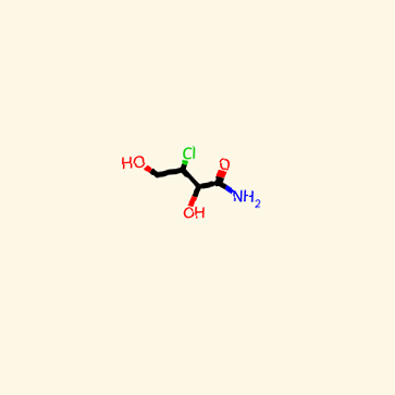 NC(=O)C(O)C(Cl)CO